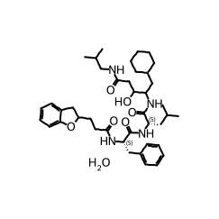 CC(C)CNC(=O)CC(O)C(CC1CCCCC1)NC(=O)[C@H](CC(C)C)NC(=O)[C@H](Cc1ccccc1)NC(=O)CCC1Cc2ccccc2O1.O